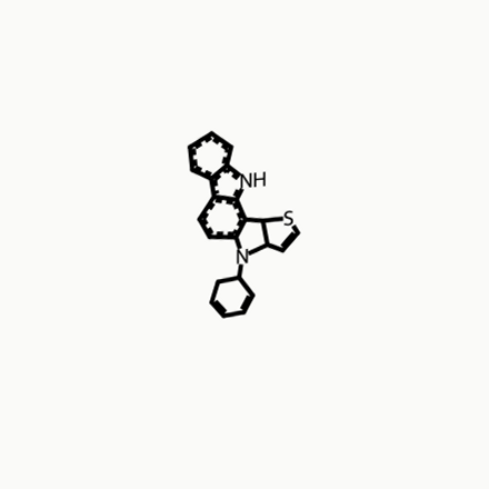 C1=CCC(N2c3ccc4c([nH]c5ccccc54)c3C3SC=CC32)C=C1